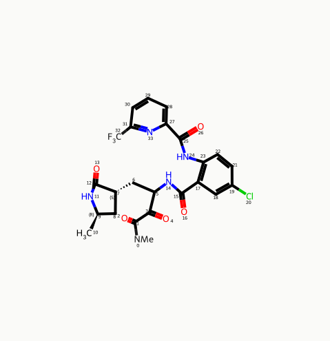 CNC(=O)C(=O)C(C[C@@H]1C[C@@H](C)NC1=O)NC(=O)c1cc(Cl)ccc1NC(=O)c1cccc(C(F)(F)F)n1